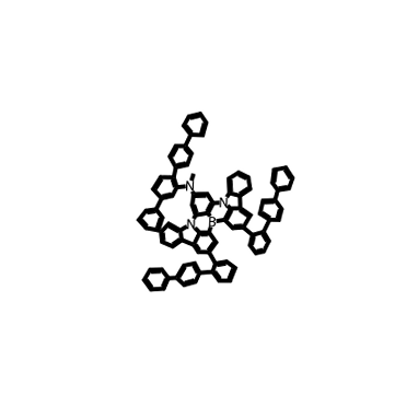 CN(c1cc2c3c(c1)-n1c4ccccc4c4cc(-c5ccccc5-c5ccc(-c6ccccc6)cc5)cc(c41)B3c1cc(-c3ccccc3-c3ccc(-c4ccccc4)cc3)cc3c4ccccc4n-2c13)c1cc(-c2ccccc2)ccc1-c1ccc(-c2ccccc2)cc1